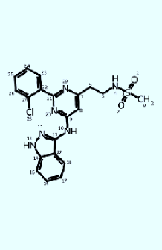 CS(=O)(=O)NCCc1cc(Nc2n[nH]c3ccccc23)nc(-c2ccccc2Cl)n1